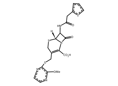 COc1nccnc1SCC1=C(C(=O)O)N2C(=O)C(NC(=O)Cc3cccs3)[C@H]2SC1